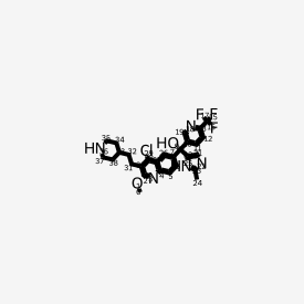 COc1nc2ccc(C(O)(c3ccc(C(F)(F)F)nc3)c3cnc(C)[nH]3)cc2c(Cl)c1CCC1CCNCC1